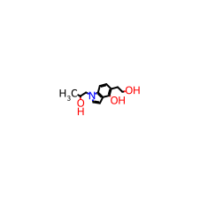 CC(O)Cn1ccc2c(O)c(CCO)ccc21